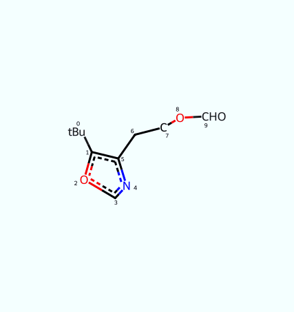 CC(C)(C)c1ocnc1CCOC=O